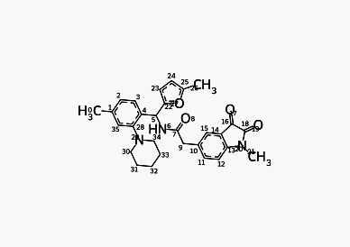 Cc1ccc(C(NC(=O)Cc2ccc3c(c2)C(=O)C(=O)N3C)c2ccc(C)o2)c(N2CCCCC2)c1